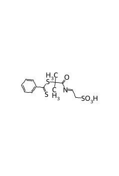 CC(C)(SC(=S)c1ccccc1)C(=O)N=CCS(=O)(=O)O